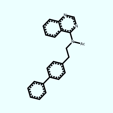 CC(=O)N(CCc1ccc(-c2ccccc2)cc1)c1ncnc2ccccc12